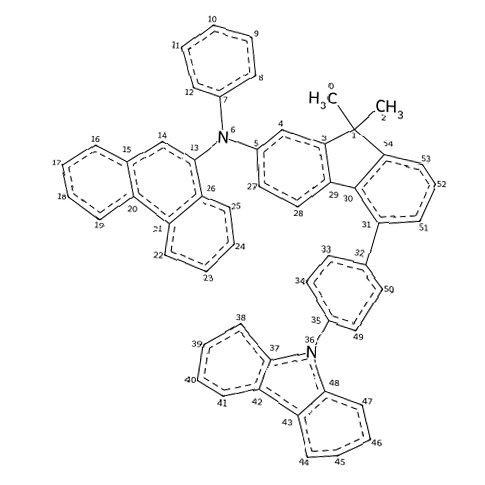 CC1(C)c2cc(N(c3ccccc3)c3cc4ccccc4c4ccccc34)ccc2-c2c(-c3ccc(-n4c5ccccc5c5ccccc54)cc3)cccc21